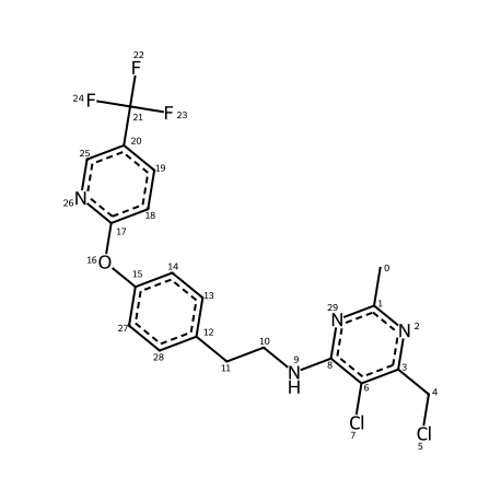 Cc1nc(CCl)c(Cl)c(NCCc2ccc(Oc3ccc(C(F)(F)F)cn3)cc2)n1